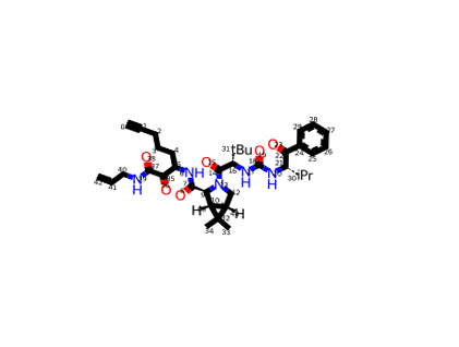 C#CCCCC(NC(=O)[C@@H]1[C@@H]2[C@H](CN1C(=O)[C@@H](NC(=O)N[C@H](C(=O)c1ccccc1)C(C)C)C(C)(C)C)C2(C)C)C(=O)C(=O)NCC=C